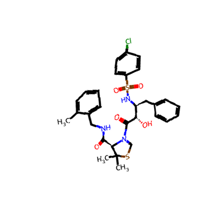 Cc1ccccc1CNC(=O)[C@H]1N(C(=O)[C@@H](O)[C@H](Cc2ccccc2)NS(=O)(=O)c2ccc(Cl)cc2)CSC1(C)C